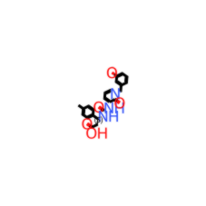 COc1cccc(Cn2cccc(NC(=O)N[C@@H](CC(=O)O)c3ccc(C)cc3)c2=O)c1